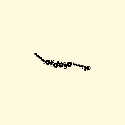 CCCCCCCCOc1ccc(C(=O)Oc2ccc3c(c2)C(C)c2cc(OC(=O)c4ccc(OCCCCCCOCC5(CC)COC5)cc4)ccc2-3)cc1